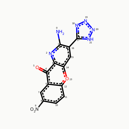 Nc1nc2c(=O)c3cc([N+](=O)[O-])ccc3oc2cc1-c1nnn[nH]1